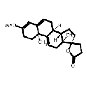 COC1=CC2=CC[C@@H]3C(=CC[C@@]4(C)[C@H]3CC[C@@]43CCC(=O)O3)[C@@]2(C)CC1